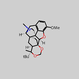 COc1ccc2c3c1O[C@H]1[C@@]45CC[C@]6(C[C@@H]4[C@@](C)(C(C)(C)C)OCO5)[C@@H](C2)N(C)CC[C@]316